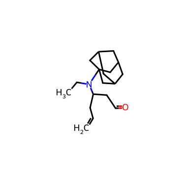 C=CCC(CC=O)N(CC)C12CC3CC(CC(C3)C1)C2